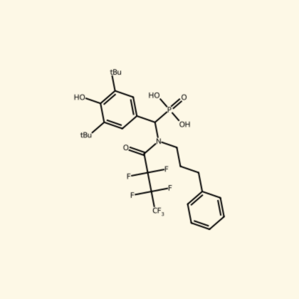 CC(C)(C)c1cc(C(N(CCCc2ccccc2)C(=O)C(F)(F)C(F)(F)C(F)(F)F)P(=O)(O)O)cc(C(C)(C)C)c1O